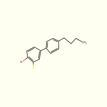 CCCCc1ccc(-c2ccc(Br)c(F)c2)cc1